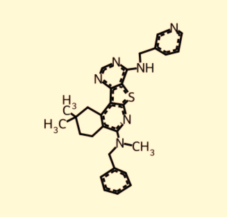 CN(Cc1ccccc1)c1nc2sc3c(NCc4cccnc4)ncnc3c2c2c1CCC(C)(C)C2